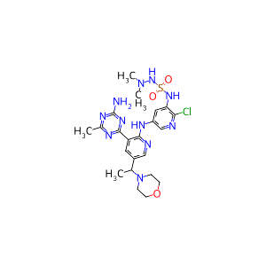 Cc1nc(N)nc(-c2cc(C(C)N3CCOCC3)cnc2Nc2cnc(Cl)c(NS(=O)(=O)NN(C)C)c2)n1